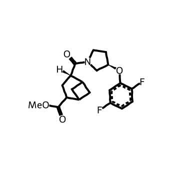 COC(=O)C1C[C@H](C(=O)N2CC[C@@H](Oc3cc(F)ccc3F)C2)C2CC1C2